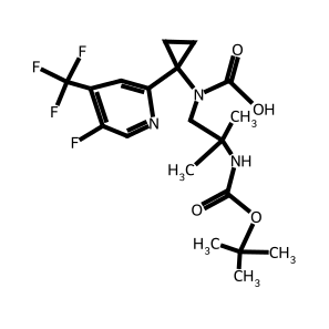 CC(C)(CN(C(=O)O)C1(c2cc(C(F)(F)F)c(F)cn2)CC1)NC(=O)OC(C)(C)C